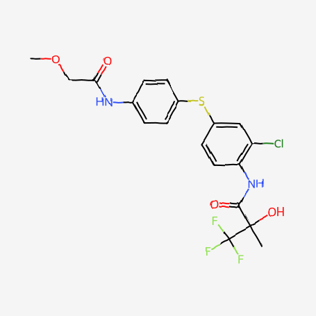 COCC(=O)Nc1ccc(Sc2ccc(NC(=O)C(C)(O)C(F)(F)F)c(Cl)c2)cc1